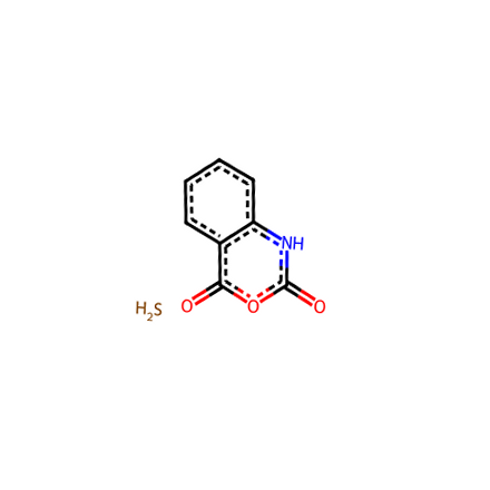 O=c1[nH]c2ccccc2c(=O)o1.S